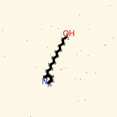 OCCCCCCCCCCCCc1cccnc1